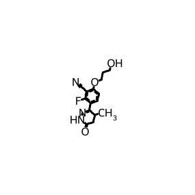 CC1CC(=O)NN=C1c1ccc(OCCCO)c(C#N)c1F